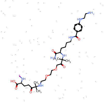 CC(C)(NCCOCCOCC(=O)C(C)(C)NC(CCCCNC(=O)c1ccc(NCCN)cc1)C(N)=O)C(=O)CCC(NI)C(=O)O